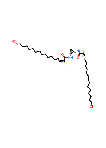 O=C(N[C@H]1C[C@H]1NC(=O)/C(F)=C\CCCCCCCCCCCCCCO)/C(F)=C\CCCCCCCCCCCCCCO